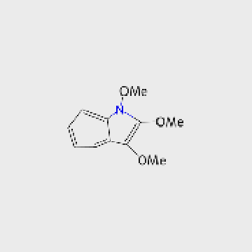 COc1c(OC)n(OC)c2ccccc12